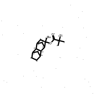 CCC(C)C1(OC(=O)C(C)(C)CC)CC2CC1C1C3CCC(C3)C21